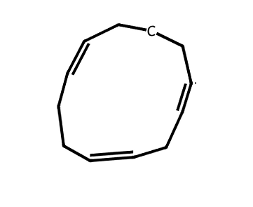 [C]1=CCC=CCCC=CCCC1